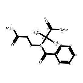 COC(=O)CCN(C(=O)c1ccccc1)C(C)(C)C(=O)OC